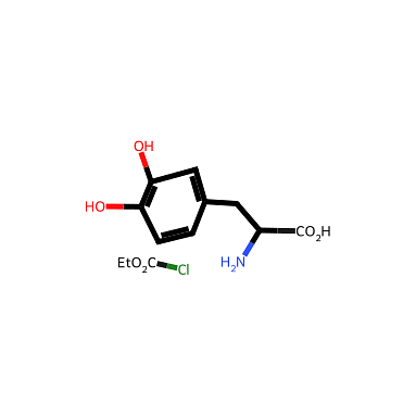 CCOC(=O)Cl.NC(Cc1ccc(O)c(O)c1)C(=O)O